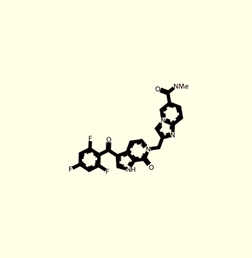 CNC(=O)c1ccc2nc(Cn3ccc4c(C(=O)c5c(F)cc(F)cc5F)c[nH]c4c3=O)cn2c1